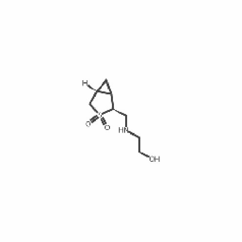 O=S1(=O)C[C@@H]2CC2[C@H]1CNCCO